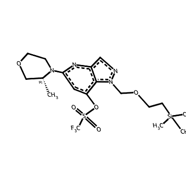 C[C@@H]1COCCN1c1cc(OS(=O)(=O)C(F)(F)F)c2c(cnn2COCC[Si](C)(C)C)n1